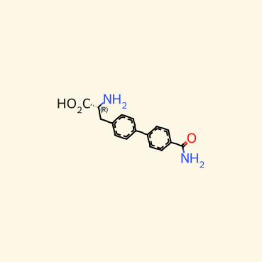 NC(=O)c1ccc(-c2ccc(C[C@@H](N)C(=O)O)cc2)cc1